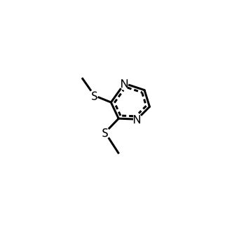 CSc1nccnc1SC